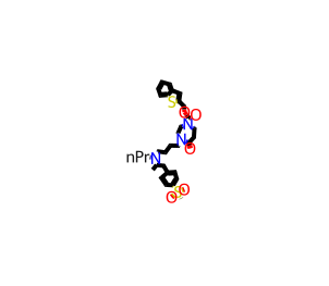 CCCN(CCCCN1CCN(C(=O)OCc2cc3ccccc3s2)CCC1=O)C(C)Cc1ccc(S(C)(=O)=O)cc1